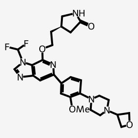 COc1cc(-c2cc3ncn(C(F)F)c3c(OCC[C@H]3CNC(=O)C3)n2)ccc1N1CCN(C2COC2)CC1